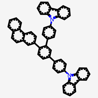 c1ccc2c(c1)ccc1cc(-c3ccc(-c4ccc(-n5c6ccccc6c6ccccc65)cc4)cc3-c3ccc(-n4c5ccccc5c5ccccc54)cc3)ccc12